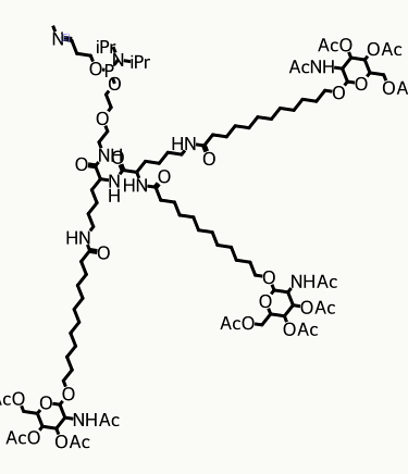 C/N=C/CCOP(OCCOCCNC(=O)C(CCCCNC(=O)CCCCCCCCCCCOC1OC(COC(C)=O)C(OC(C)=O)C(OC(C)=O)C1NC(C)=O)NC(=O)C(CCCCNC(=O)CCCCCCCCCCCOC1OC(COC(C)=O)C(OC(C)=O)C(OC(C)=O)C1NC(C)=O)NC(=O)CCCCCCCCCCCOC1OC(COC(C)=O)C(OC(C)=O)C(OC(C)=O)C1NC(C)=O)N(C(C)C)C(C)C